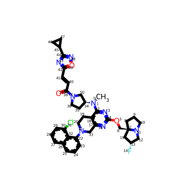 CN(c1nc(OC[C@@]23CCCN2C[C@H](F)C3)nc2c1CCN(c1cccc3cccc(Cl)c13)C2)[C@@H]1CCN(C(=O)/C=C/c2nc(C3CC3)no2)C1